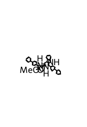 COC(=O)C(NC(=O)[C@H]1Cc2c([nH]c3ccccc23)C(c2ccc(-c3ccccc3)cc2)N1)c1ccc(-c2ccccc2)cc1